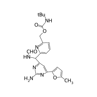 Cc1ccc(-c2cc(C(NC=O)c3cccc(COC(=O)NC(C)(C)C)n3)nc(N)n2)o1